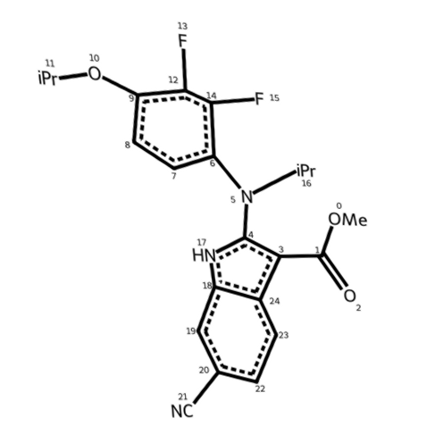 COC(=O)c1c(N(c2ccc(OC(C)C)c(F)c2F)C(C)C)[nH]c2cc(C#N)ccc12